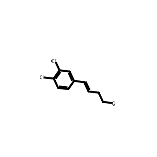 [O]CCC=Cc1ccc(Cl)c(Cl)c1